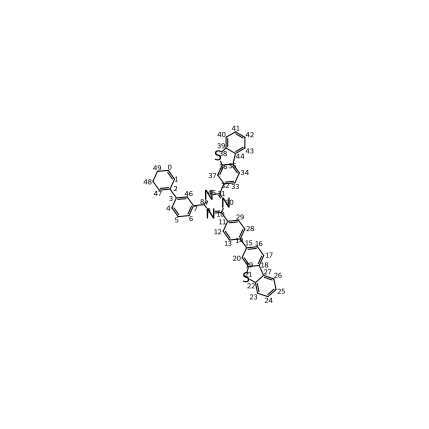 C1=CC(c2cccc(-c3nc(-c4ccc(-c5ccc6c(c5)sc5ccccc56)cc4)nc(-c4ccc5c(c4)sc4ccccc45)n3)c2)=CCC1